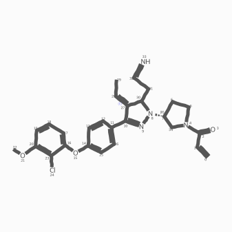 C=CC(=O)N1CC[C@@H](N2N=C(c3ccc(Oc4cccc(OC)c4Cl)cc3)/C(=C/C)C2CC=N)C1